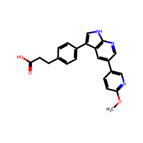 COc1ccc(-c2cnc3[nH]cc(-c4ccc(CCC(=O)O)cc4)c3c2)cn1